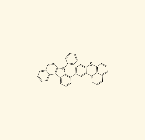 c1ccc(-n2c3ccc4ccccc4c3c3cccc(-c4ccc5c(c4)-c4cccc6cccc(c46)S5)c32)cc1